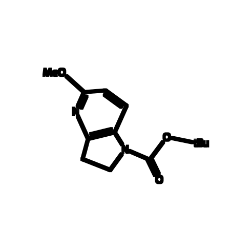 COc1ccc2c(n1)CCN2C(=O)OC(C)(C)C